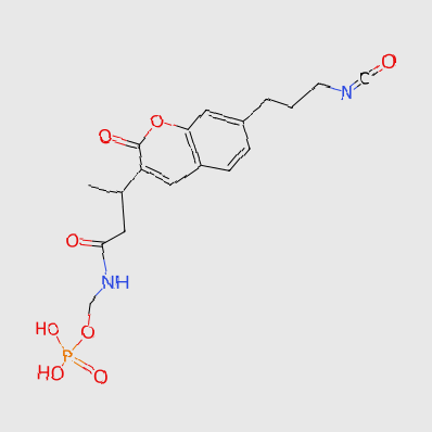 CC(CC(=O)NCOP(=O)(O)O)c1cc2ccc(CCCN=C=O)cc2oc1=O